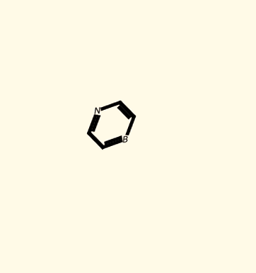 b1[c]cncc1